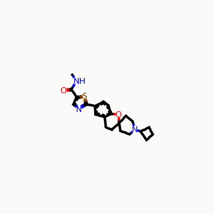 CNC(=O)c1cnc(-c2ccc3c(c2)CCC2(CCN(C4CCC4)CC2)O3)s1